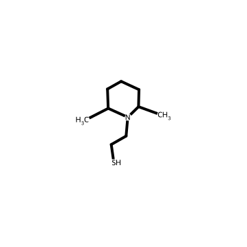 CC1CCCC(C)N1CCS